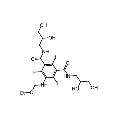 CCOCNc1c(I)c(C(=O)NCC(O)CO)c(I)c(C(=O)NCC(O)CO)c1I